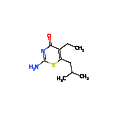 CCc1c(CC(C)C)sc(N)nc1=O